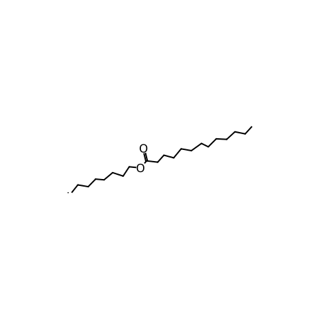 [CH2]CCCCCCCOC(=O)CCCCCCCCCCCC